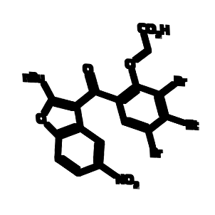 CCCCc1oc2ccc([N+](=O)[O-])cc2c1C(=O)c1cc(Br)c(CC)c(Br)c1OCC(=O)O